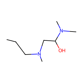 CCCN(C)CC(O)N(C)C